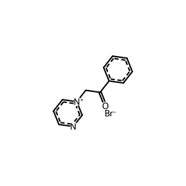 O=C(C[n+]1cccnc1)c1ccccc1.[Br-]